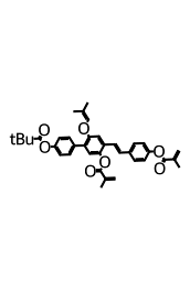 C=C(C)C(=O)Oc1ccc(/C=C/c2cc(OC=C(C)C)c(-c3ccc(OC(=O)C(C)(C)C)cc3)cc2OC(=O)C(=C)C)cc1